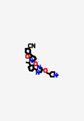 CC(c1cccc(-c2ncc(OCC3CCN(C)CC3)cn2)c1)n1c(=O)ccc2c3cc(C#N)ccc3oc21